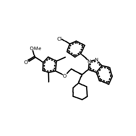 COC(=O)c1cc(C)c(OCC(c2c3ccccc3nn2-c2ccc(Cl)cc2)C2CCCCC2)c(C)c1